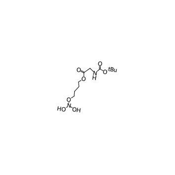 CC(C)(C)OC(=O)NCC(=O)OCCCCON(O)O